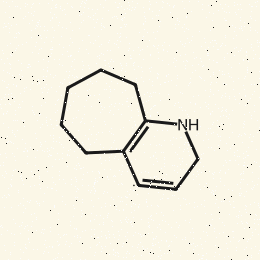 [C]1=CCNC2=C1CCCCC2